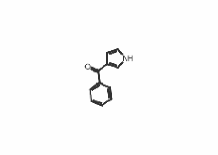 O=C(c1ccccc1)c1cc[nH]c1